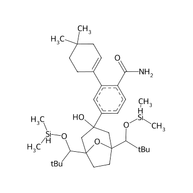 C[SiH](C)OC(C(C)(C)C)C12CCC(C(O[SiH](C)C)C(C)(C)C)(CC(O)(c3ccc(C(N)=O)c(C4=CCC(C)(C)CC4)c3)C1)O2